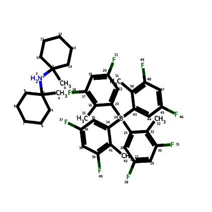 CC1([NH2+]C2(C)CCCCC2)CCCCC1.Cc1c(F)cc(F)cc1[B-](c1cc(F)cc(F)c1C)(c1cc(F)cc(F)c1C)c1cc(F)cc(F)c1C